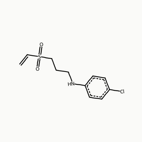 C=CS(=O)(=O)CCCNc1ccc(Cl)cc1